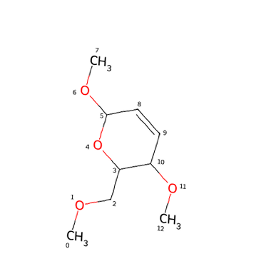 COCC1OC(OC)C=CC1OC